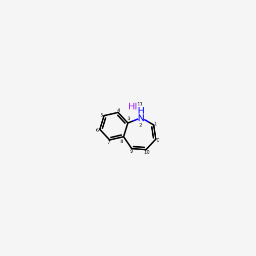 C1=CNc2ccccc2C=C1.I